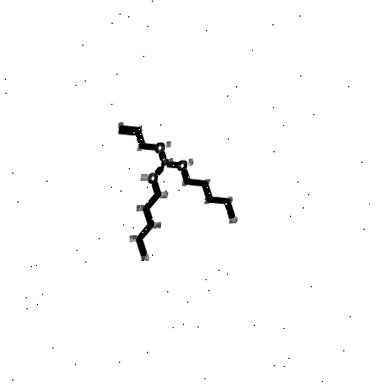 C=CCOP(OCCCCC)OCCCCC